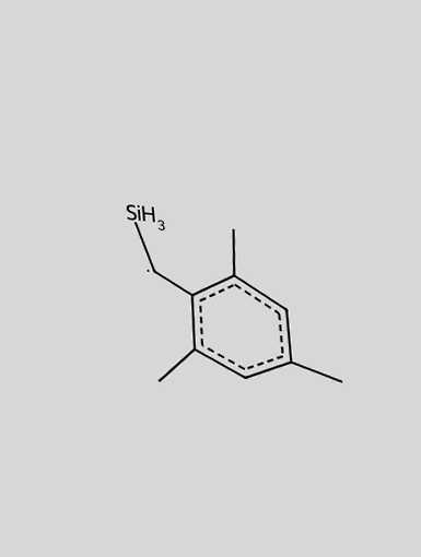 Cc1cc(C)c([CH][SiH3])c(C)c1